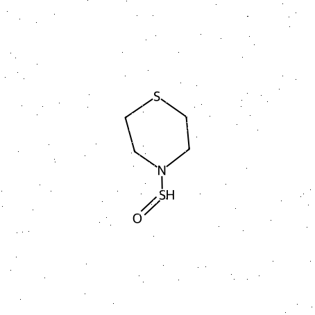 O=[SH]N1CCSCC1